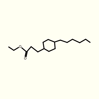 CCCCCCC1CCC(CCC(=O)OCC)CC1